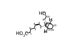 O=C(O)CCC/C=C\C[C@@H]1[C@H](CCO)[C@@H]2CC[C@H]1O2